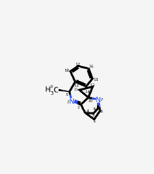 C[C@H](/N=C1/C2CCN(CC2)C12CC2)c1ccccc1